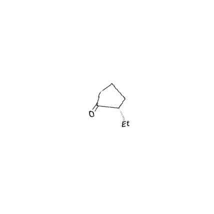 CC[C@H]1CCCC1=O